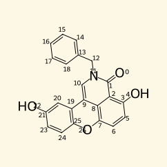 O=c1c2c(O)ccc3c2c(cn1Cc1ccccc1)-c1cc(O)ccc1O3